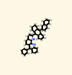 c1ccc(-c2c3ccccc3nc3c2ccc2ccc(-c4c5ccccc5c(-c5ccc6ccccc6c5)c5ccccc45)nc23)cc1